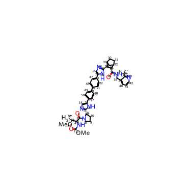 COC(=O)N[C@H](C(=O)N1CCC[C@H]1c1ncc(-c2ccc(-c3ccc(-c4cnc([C@@H]5C6CCC(C6)[C@H]5C(=O)NCc5cccnc5C(F)(F)F)[nH]4)cc3)cc2)[nH]1)[C@@H](C)OC